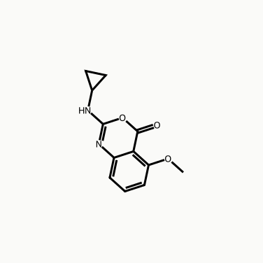 COc1cccc2nc(NC3CC3)oc(=O)c12